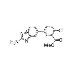 COC(=O)c1cc(-c2ccn3nc(N)nc3c2)ccc1Cl